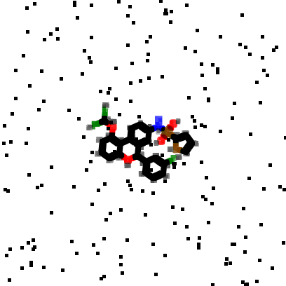 O=S(=O)(Nc1ccc2c(c1)C(c1cccc(F)c1)Oc1cccc(OC(F)F)c1-2)c1cccs1